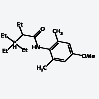 CCC(C(=O)Nc1c(C)cc(OC)cc1C)[PH](CC)(CC)CC